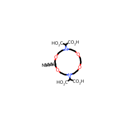 O=C(O)C(C(=O)O)N1CCOCCOCCN(C(C(=O)O)C(=O)O)CCOCCOCC1.[Na].[Na].[Na].[Na]